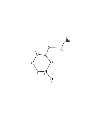 CCN1CCOC(COC(C)(C)C)C1